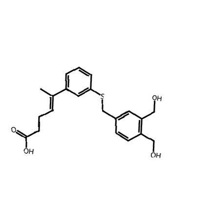 CC(=CCCC(=O)O)c1cccc(SCc2ccc(CO)c(CO)c2)c1